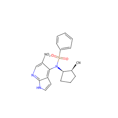 N#C[C@H]1CCC[C@H]1N(c1c([N+](=O)[O-])cnc2[nH]ccc12)S(=O)(=O)c1ccccc1